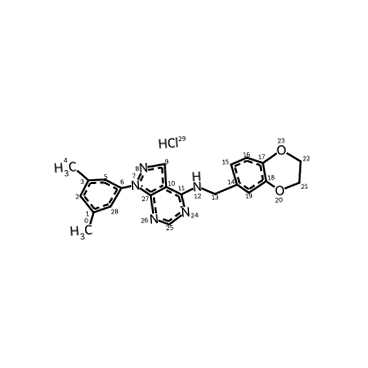 Cc1cc(C)cc(-n2ncc3c(NCc4ccc5c(c4)OCCO5)ncnc32)c1.Cl